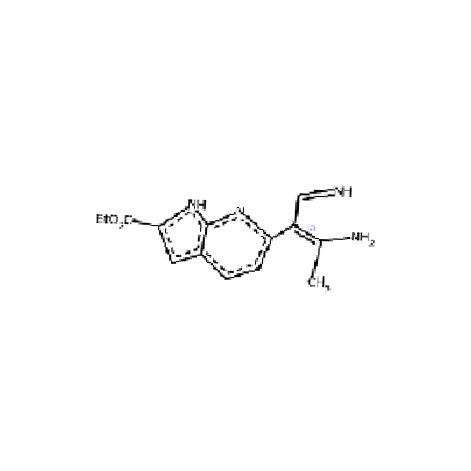 CCOC(=O)c1cc2ccc(/C(C=N)=C(\C)N)nc2[nH]1